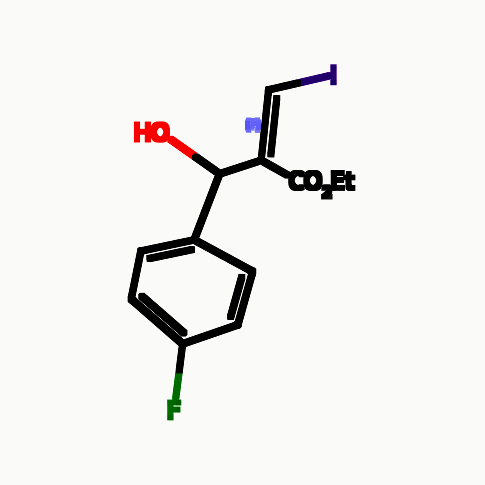 CCOC(=O)/C(=C\I)C(O)c1ccc(F)cc1